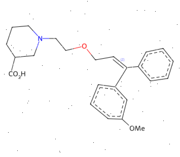 COc1cccc(/C(=C\COCCN2CCCC(C(=O)O)C2)c2ccccc2)c1